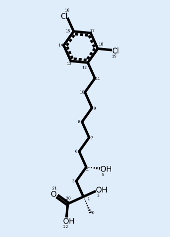 C[C@@](O)(C[C@@H](O)CCCCCCc1ccc(Cl)cc1Cl)C(=O)O